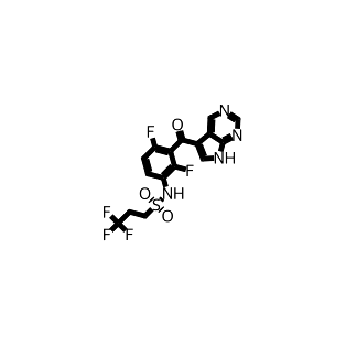 O=C(c1c(F)ccc(NS(=O)(=O)CCC(F)(F)F)c1F)c1c[nH]c2ncncc12